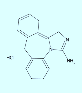 Cl.NC1=NCC2=C3CC=CC=C3Cc3ccccc3N12